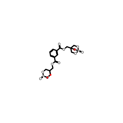 O=C(OCC12COP(=O)(OC1)OC2)c1cccc(C(=O)OCC23COP(=O)(OC2)OC3)c1